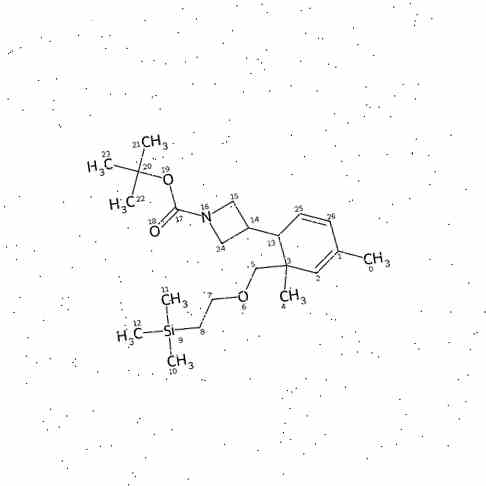 CC1=CC(C)(COCC[Si](C)(C)C)C(C2CN(C(=O)OC(C)(C)C)C2)C=C1